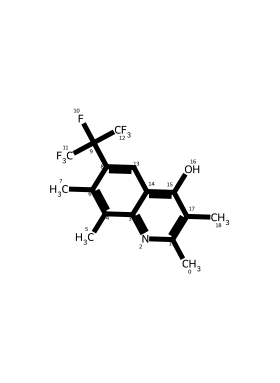 Cc1nc2c(C)c(C)c(C(F)(C(F)(F)F)C(F)(F)F)cc2c(O)c1C